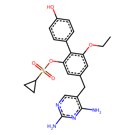 CCOc1cc(Cc2cnc(N)nc2N)cc(OS(=O)(=O)C2CC2)c1-c1ccc(O)cc1